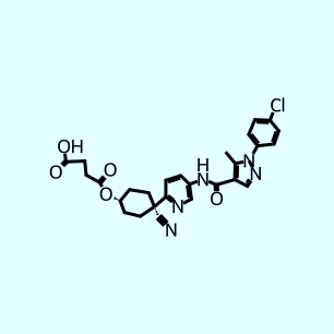 Cc1c(C(=O)Nc2ccc([C@]3(C#N)CC[C@@H](OC(=O)CCC(=O)O)CC3)nc2)cnn1-c1ccc(Cl)cc1